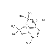 CCOc1ccc(C=O)c(O[Si](C)(C)C(C)(C)C)c1O[Si](C)(C)C(C)(C)C